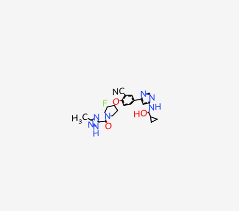 Cc1n[nH]c(C(=O)N2CC[C@H](Oc3ccc(-c4cc(NC(O)C5CC5)ncn4)cc3C#N)[C@H](F)C2)n1